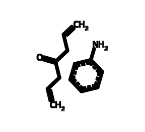 C=CCC(=O)CC=C.Nc1ccccc1